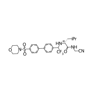 CC(C)C[C@@H](NC(c1ccc(-c2ccc(S(=O)(=O)N3CCOCC3)cc2)cc1)C(F)(F)F)C(=O)NCC#N